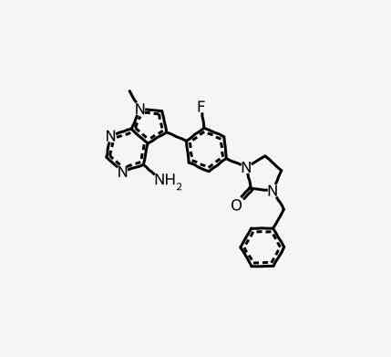 Cn1cc(-c2ccc(N3CCN(Cc4ccccc4)C3=O)cc2F)c2c(N)ncnc21